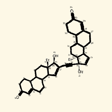 CC[C@]12CCC3C4CCC(=O)C=C4CCC3C1C=C(C#C[C@]1(O)C=CC3C4CCC5=CC(=O)CCC5C4CC[C@@]31CC)[C@@H]2O